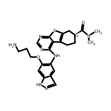 CN(C)C(=O)[C@H]1CCc2c(sc3ncnc(Nc4cc5cn[nH]c5cc4OCCCN)c23)C1